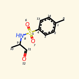 Cc1ccc(S(=O)(=O)NC(C)C=O)cc1